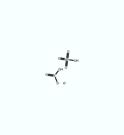 O=S([O-])O.[K+].[O]=[Mn](=[O])(=[O])[OH]